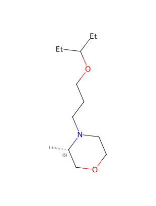 CCC(CC)OCCCN1CCOC[C@@H]1C